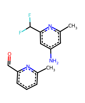 Cc1cc(N)cc(C(F)F)n1.Cc1cccc(C=O)n1